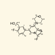 Cc1cc(F)c(C(=O)O)cc1-c1cc(N2CCOCC2)c2ncc(F)n2c1